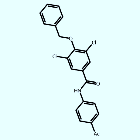 CC(=O)c1ccc(NC(=O)c2cc(Cl)c(OCc3ccccc3)c(Cl)c2)cc1